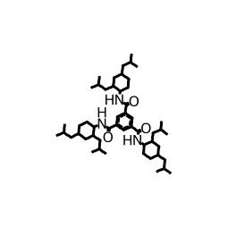 CC(C)CC1CCC(NC(=O)c2cc(C(=O)NC3CCC(CC(C)C)CC3CC(C)C)cc(C(=O)NC3CCC(CC(C)C)CC3CC(C)C)c2)C(CC(C)C)C1